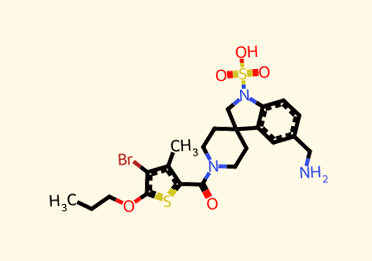 CCCOc1sc(C(=O)N2CCC3(CC2)CN(S(=O)(=O)O)c2ccc(CN)cc23)c(C)c1Br